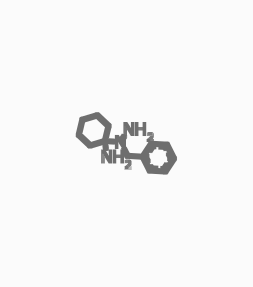 NN(Cc1ccccc1)C1(N)CCCCC1